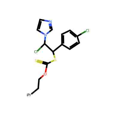 CC(C)CCOC(=S)SC(c1ccc(Cl)cc1)C(Cl)n1ccnc1